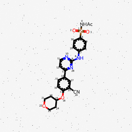 CC(=O)NS(=O)(=O)c1ccc(Nc2nccc(-c3ccc(OC4CCOCC4)c(C#N)c3)n2)cc1